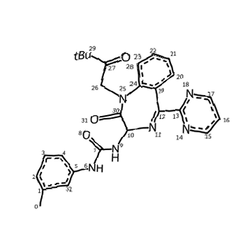 Cc1cccc(NC(=O)NC2N=C(c3ncccn3)c3ccccc3N(CC(=O)C(C)(C)C)C2=O)c1